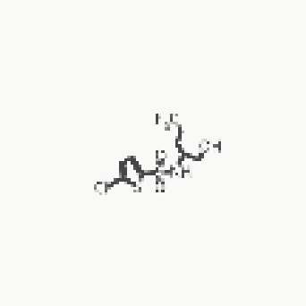 O=S(=O)(NC(CO)CCC(F)(F)F)c1ccc(Cl)s1